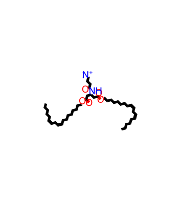 CCCCC/C=C\C/C=C\CCCCCCCCOC(=O)CC(CC(=O)OCCCCCCCC/C=C\C/C=C\CCCCC)NC(=O)CCC[N+](C)(C)C